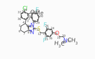 COc1cc(C2CCCc3nc(SCc4c(F)cc(OCCN(C)C)cc4F)n(-c4ccc(F)cc4)c32)ccc1Cl